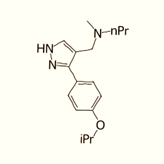 CCCN(C)Cc1c[nH]nc1-c1ccc(OC(C)C)cc1